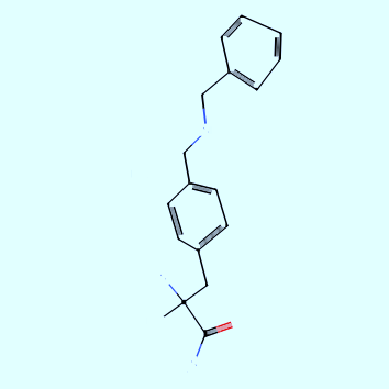 CC(N)(Cc1ccc(CNCc2ccccc2)cc1)C(N)=O.Cl.Cl